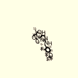 C[C@H](Nc1nccc(N2C(=O)OCC2[C@@H](C)O)n1)c1ccc(OC(F)(F)F)cc1F